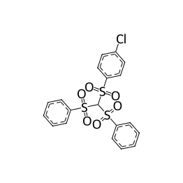 O=S(=O)(c1ccccc1)C(S(=O)(=O)c1ccccc1)S(=O)(=O)c1ccc(Cl)cc1